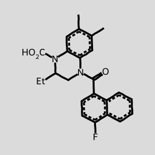 CCC1CN(C(=O)c2ccc(F)c3ccccc23)c2cc(C)c(C)cc2N1C(=O)O